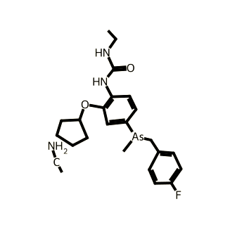 CCN.CCNC(=O)Nc1ccc([As](C)Cc2ccc(F)cc2)cc1OC1CCCC1